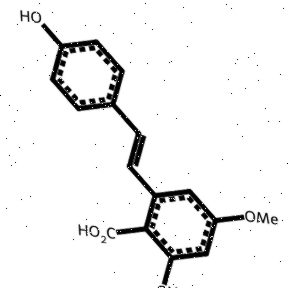 COc1cc(O)c(C(=O)O)c(C=Cc2ccc(O)cc2)c1